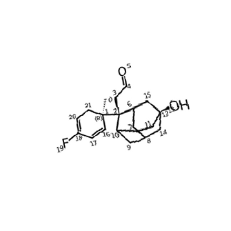 C[C@]1([C@]2(CC=O)C3CC4CC2C[C@@](O)(C4)C3)C=CC(F)=CC1